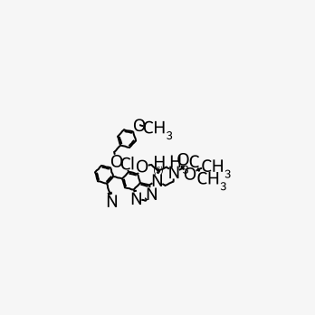 COc1ccc(COc2cccc(C#N)c2-c2cc3ncnc4c3c(c2Cl)OC[C@@H]2CN(C(=O)OC(C)(C)C)CCN42)cc1